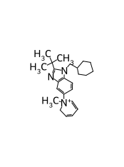 CC(C)(C)c1nc2cc([N+]3(C)C=CC=CC3)ccc2n1CC1CCCCC1